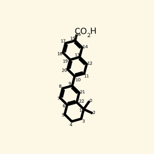 CC1(C)CCCc2ccc(-c3ccc4cc(C(=O)O)ccc4c3)cc21